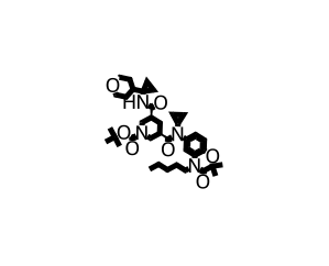 CCCCCN1C(=O)C(C)(C)Oc2ccc(N(C(=O)[C@@H]3C[C@H](C(=O)NC4(C5CCOCC5)CC4)CN(C(=O)OC(C)(C)C)C3)C3CC3)cc21